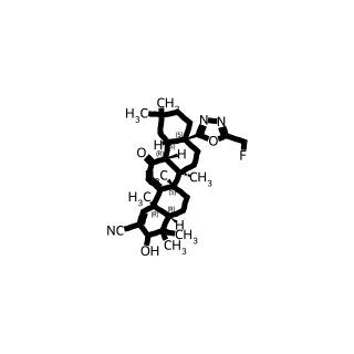 CC1(C)CC[C@]2(c3nnc(CF)o3)CC[C@]3(C)[C@H](C(=O)C=C4[C@@]5(C)C=C(C#N)C(O)C(C)(C)[C@@H]5CC[C@]43C)[C@@H]2C1